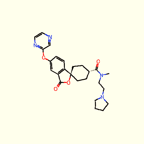 CN(CCN1CCCC1)C(=O)[C@H]1CC[C@@]2(CC1)OC(=O)c1cc(Oc3cnccn3)ccc12